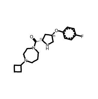 O=C([C@@H]1C[C@@H](Oc2ccc(F)cc2)CN1)N1CCCN(C2CCC2)CC1